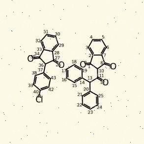 O=C1c2ccccc2C(=O)C1C(=O)C(c1ccccc1)c1ccccc1.O=C1c2ccccc2C(=O)C1c1ccc(Cl)cc1